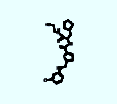 O=C(NC(CC1CCCC1)C(=O)NCCO)c1ccc(CNc2cc(Cl)ccn2)s1